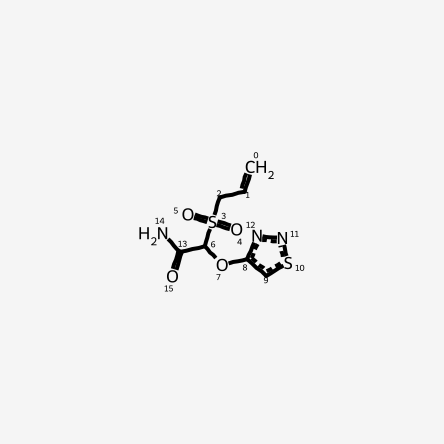 C=CCS(=O)(=O)C(Oc1csnn1)C(N)=O